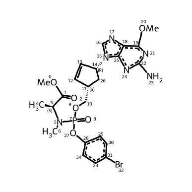 COC(=O)[C@H](C)N(C)P(=O)(OC[C@@H]1C=C[C@H](n2cnc3c(OC)nc(N)nc32)C1)Oc1ccc(Br)cc1